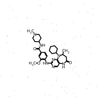 COc1cc(C(=O)NC2CCN(C)CC2)ccc1Nc1ncc2c(n1)N(C1CCCCC1)C(C)CC(=O)N2